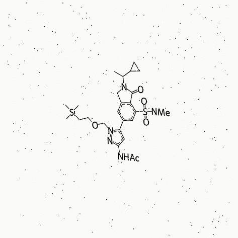 CNS(=O)(=O)c1cc(-c2cc(NC(C)=O)nn2COCC[Si](C)(C)C)cc2c1C(=O)N(C(C)C1CC1)C2